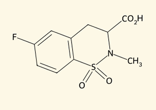 CN1C(C(=O)O)Cc2cc(F)ccc2S1(=O)=O